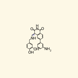 Nc1cccc(-c2ccc3c(c2)/C(=C\NCc2ccc(O)c(O)c2)C(=O)NC3=O)c1